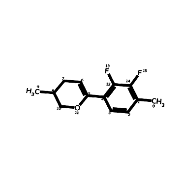 Cc1ccc(C2=CCC(C)CO2)c(F)c1F